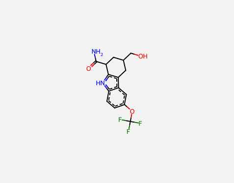 NC(=O)C1CC(CO)Cc2c1[nH]c1ccc(OC(F)(F)F)cc21